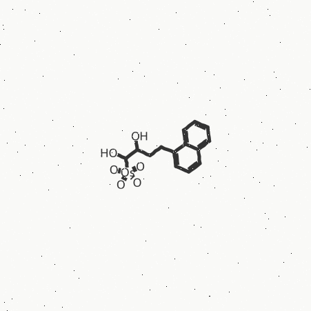 [O]=[Os](=[O])(=[O])(=[O])[CH](O)C(O)CCc1cccc2ccccc12